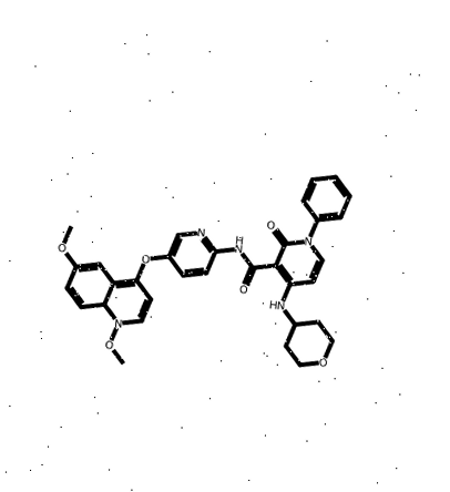 COC1=CC2=C(Oc3ccc(NC(=O)c4c(NC5CCOCC5)ccn(-c5ccccc5)c4=O)nc3)C=CN(OC)C2C=C1